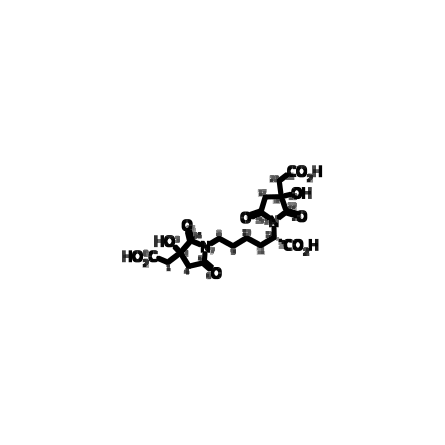 O=C(O)CC1(O)CC(=O)N(CCCC[C@@H](C(=O)O)N2C(=O)CC(O)(CC(=O)O)C2=O)C1=O